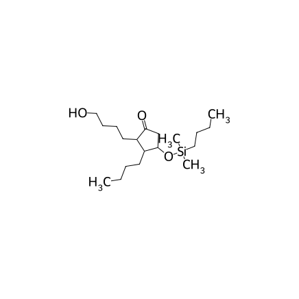 CCCCC1C(O[Si](C)(C)CCCC)CC(=O)C1CCCCO